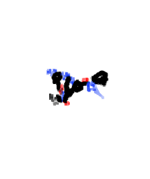 CCCN(OCc1ccc(N)cc1)C(=O)C1=Cc2ccc(C(=O)NC3CCCCC3)cc2N=C(N)C1